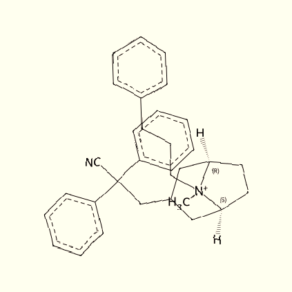 C[N+]1(CCCc2ccccc2)[C@@H]2CC[C@H]1CC(CC(C#N)(c1ccccc1)c1ccccc1)C2